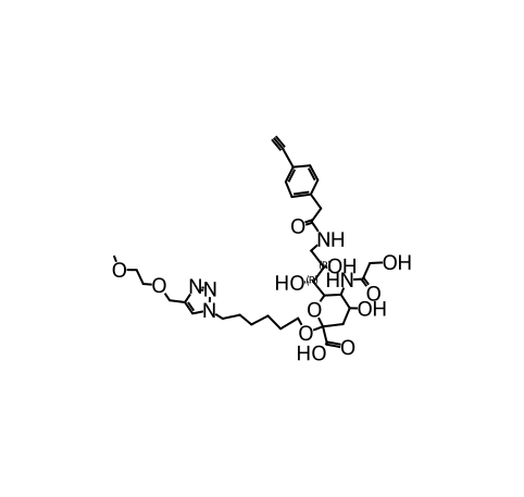 C#Cc1ccc(CC(=O)NC[C@@H](O)[C@@H](O)C2OC(OCCCCCCn3cc(COCCOC)nn3)(C(=O)O)CC(O)C2NC(=O)CO)cc1